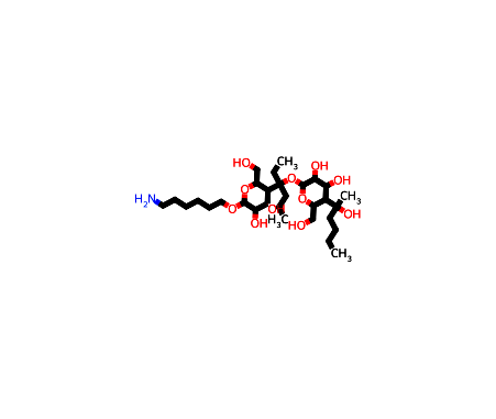 CCCCC(C)(O)C1C(CO)OC(OC(CC)(CCC)C2C(CO)OC(OCCCCCCN)C(O)C2O)C(O)C1O